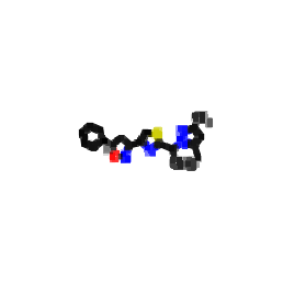 Cc1cc(C(F)(F)F)nn1C([C]=O)c1nc(C2=NO[C@@H](c3ccccc3)C2)cs1